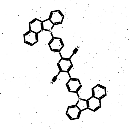 N#Cc1cc(-c2ccc(-n3c4ccccc4c4ccc5ccccc5c43)cc2)c(C#N)cc1-c1ccc(-n2c3ccccc3c3ccc4ccccc4c32)cc1